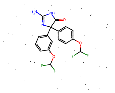 NC1=NC(c2ccc(OC(F)F)cc2)(c2cccc(OC(F)F)c2)C(=O)N1